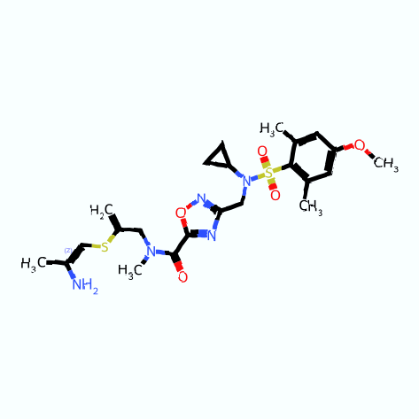 C=C(CN(C)C(=O)c1nc(CN(C2CC2)S(=O)(=O)c2c(C)cc(OC)cc2C)no1)S/C=C(/C)N